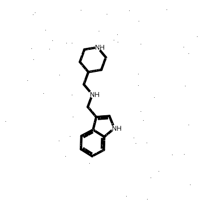 c1ccc2c(CNCC3CCNCC3)c[nH]c2c1